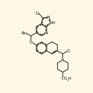 CCC(C)C(Oc1ccc2c(c1)CCC(C(Cl)N1CCC(C(=O)O)CC1)=C2)c1cnc2[nH]nc(Cl)c2c1